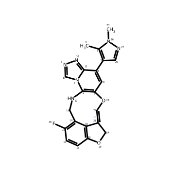 Cc1c(-c2cc3c(n4cnnc24)NCc2c(F)ccc4c2/C(=C/O3)CO4)cnn1C